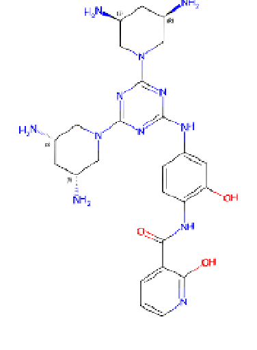 N[C@@H]1C[C@H](N)CN(c2nc(Nc3ccc(NC(=O)c4cccnc4O)c(O)c3)nc(N3C[C@H](N)C[C@H](N)C3)n2)C1